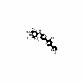 CC1(C)C[C@@H](Nc2ccc(-c3ncc(-c4cc[nH]n4)cc3O)nn2)[C@@H](F)C(C)(C)N1